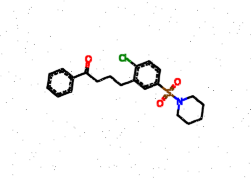 O=C(CCCc1cc(S(=O)(=O)N2CCCCC2)ccc1Cl)c1ccccc1